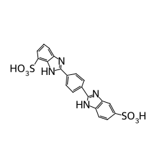 O=S(=O)(O)c1ccc2[nH]c(-c3ccc(-c4nc5cccc(S(=O)(=O)O)c5[nH]4)cc3)nc2c1